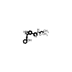 CC(C)CC(=O)Nc1cncc(-c2ccc3[nH]nc(C#CC4(O)CCCCC4)c3c2)c1